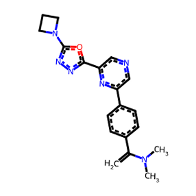 C=C(c1ccc(-c2cncc(-c3nnc(N4CCC4)o3)n2)cc1)N(C)C